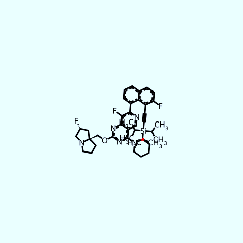 CC(C)[Si](C#Cc1c(F)ccc2cccc(-c3ncc4c(N5CCCCC5)nc(OC[C@@]56CCCN5C[C@H](F)C6)nc4c3F)c12)(C(C)C)C(C)C